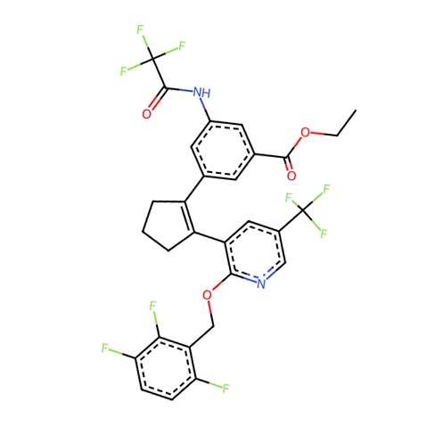 CCOC(=O)c1cc(NC(=O)C(F)(F)F)cc(C2=C(c3cc(C(F)(F)F)cnc3OCc3c(F)ccc(F)c3F)CCC2)c1